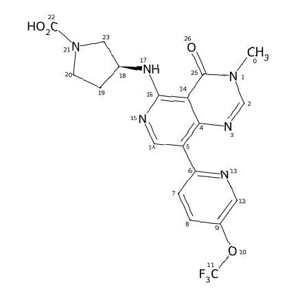 Cn1cnc2c(-c3ccc(OC(F)(F)F)cn3)cnc(N[C@H]3CCN(C(=O)O)C3)c2c1=O